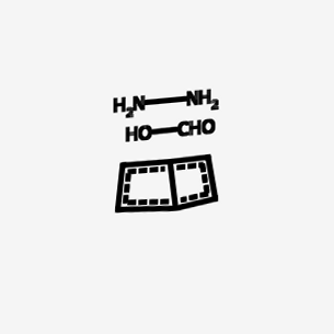 NN.O=CO.c1cc2ccc1-2